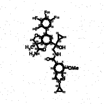 COc1cc(C(=O)NCC(O)(c2cc3c(c(-c4cc(F)c(F)c(F)c4F)n2)OC[C@]3(C)C(N)=O)C2CC2)cc2cn(C3CC3)nc12